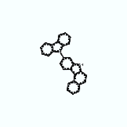 c1ccc2c(c1)ccc1[nH]c3cc(-n4c5ccccc5c5ccccc54)ccc3c12